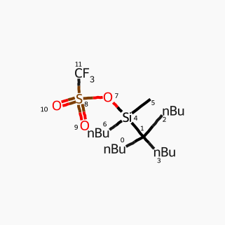 CCCCC(CCCC)(CCCC)[Si](C)(CCCC)OS(=O)(=O)C(F)(F)F